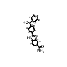 NC(=O)c1ccc2[nH]c(-c3ccc(C(O)c4ccncc4)cc3)nc2c1